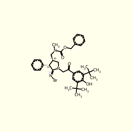 CN(C[C@H]1CN(CC(=O)c2cc(C(C)(C)C)c(O)c(C(C)(C)C)c2)/C(=N\Br)[C@@H]1c1ccccc1)C(=O)OCc1ccccc1